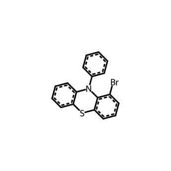 Brc1cccc2c1N(c1ccccc1)c1ccccc1S2